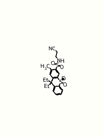 CCC1(CC)c2ccccc2S(=O)(=O)c2cc(S(=O)(=O)NCCC#N)c(C)cc21